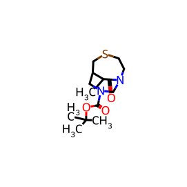 CC1C(=O)N2CCSCC1CN(C(=O)OC(C)(C)C)C2